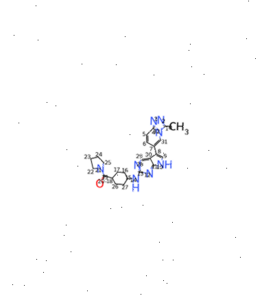 Cc1nnc2ccc(-c3c[nH]c4nc(NC5CCC(C(=O)N6CCCC6)CC5)ncc34)cn12